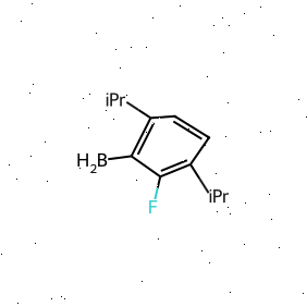 Bc1c(C(C)C)ccc(C(C)C)c1F